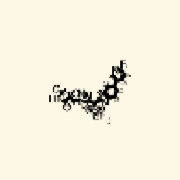 CC1(Cc2nnc(C(c3nc4ccc(-c5ccc(F)nc5)cc4s3)S(C)(=O)=O)o2)SC(=O)NC1=O